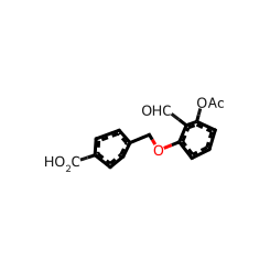 CC(=O)Oc1cccc(OCc2ccc(C(=O)O)cc2)c1C=O